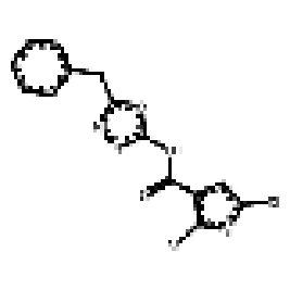 O=C(Nc1nnc(Cc2ccccc2)o1)c1cc(Cl)sc1Cl